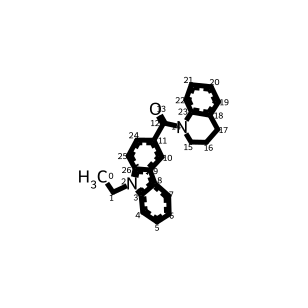 CCn1c2ccccc2c2cc(C(=O)N3CCCc4ccccc43)ccc21